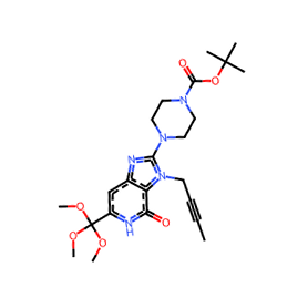 CC#CCn1c(N2CCN(C(=O)OC(C)(C)C)CC2)nc2cc(C(OC)(OC)OC)[nH]c(=O)c21